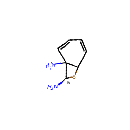 N[C@@H]1SC2C=CC=CC21N